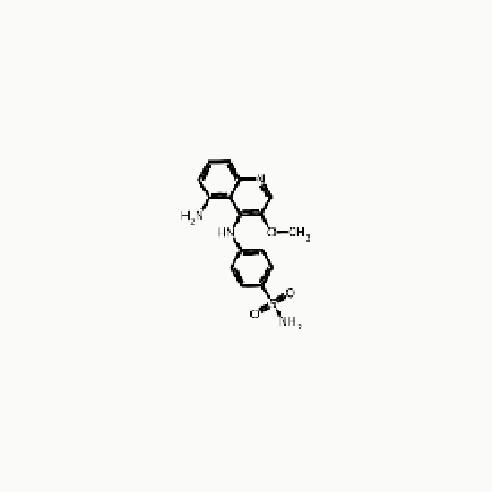 COc1cnc2cccc(N)c2c1Nc1ccc(S(N)(=O)=O)cc1